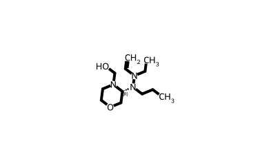 C=CN(CC)N(CCC)[C@@H]1COCCN1CO